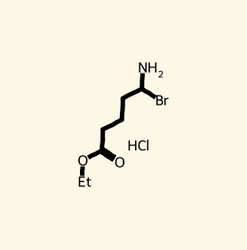 CCOC(=O)CCCC(N)Br.Cl